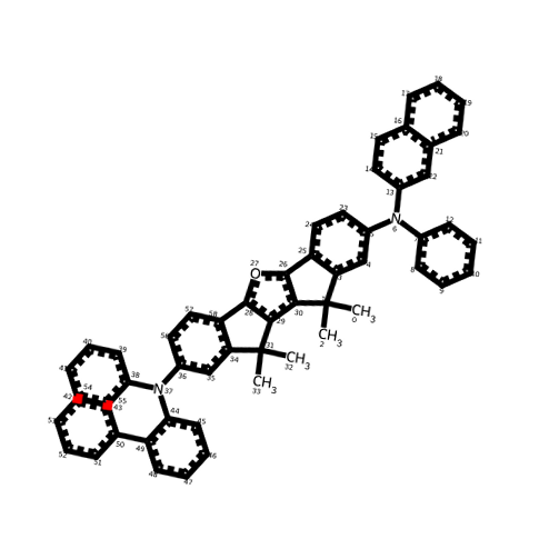 CC1(C)c2cc(N(c3ccccc3)c3ccc4ccccc4c3)ccc2-c2oc3c(c21)C(C)(C)c1cc(N(c2ccccc2)c2ccccc2-c2ccccc2)ccc1-3